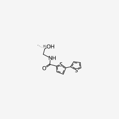 C[C@H](O)CNC(=O)c1ccc(-c2cccs2)s1